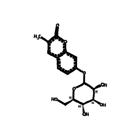 Cc1cc2ccc(OC3O[C@H](CO)[C@@H](O)[C@H](O)[C@@H]3O)cc2oc1=O